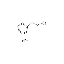 CCCc1cccc(CNCC)c1